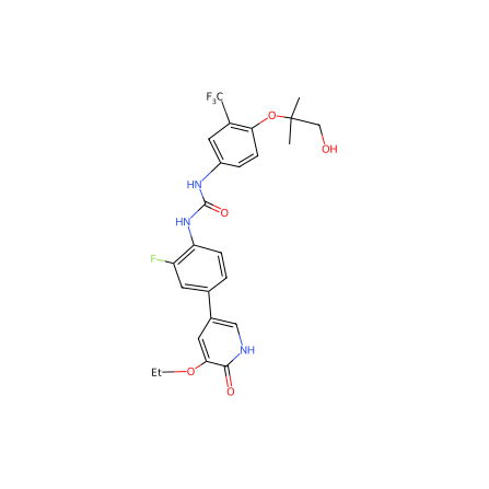 CCOc1cc(-c2ccc(NC(=O)Nc3ccc(OC(C)(C)CO)c(C(F)(F)F)c3)c(F)c2)c[nH]c1=O